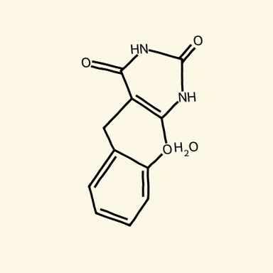 O.O=c1[nH]c2c(c(=O)[nH]1)Cc1ccccc1O2